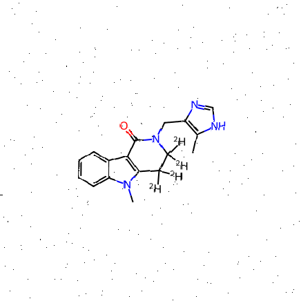 [2H]C1([2H])c2c(c3ccccc3n2C)C(=O)N(Cc2nc[nH]c2C)C1([2H])[2H]